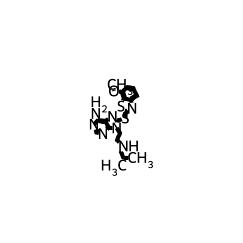 COc1cccc2nc(Sc3nc4c(N)ncnc4n3CCNCC(C)C)sc12